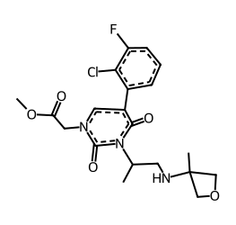 COC(=O)Cn1cc(-c2cccc(F)c2Cl)c(=O)n(C(C)CNC2(C)COC2)c1=O